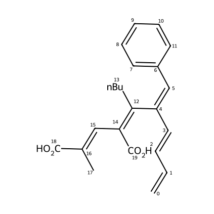 C=CC=CC(=Cc1ccccc1)C(CCCC)=C(C=C(C)C(=O)O)C(=O)O